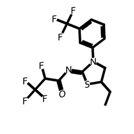 CCC1CN(c2cccc(C(F)(F)F)c2)C(=NC(=O)C(F)C(F)(F)F)S1